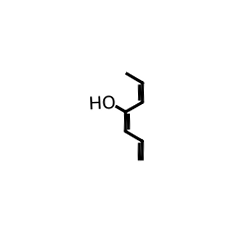 C=C/C=C(O)\C=C/C